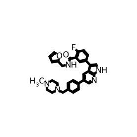 CN1CCN(Cc2ccc(-c3cnc4[nH]cc(-c5ccc(F)c(C(=O)NCc6ccco6)c5)c4c3)cc2)CC1